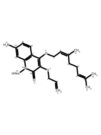 C=CCOc1c(OCC=C(C)CCC=C(C)C)c2ccc(N)cc2n(CCCCCC)c1=O